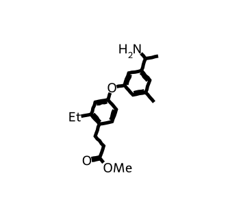 CCc1cc(Oc2cc(C)cc(C(C)N)c2)ccc1CCC(=O)OC